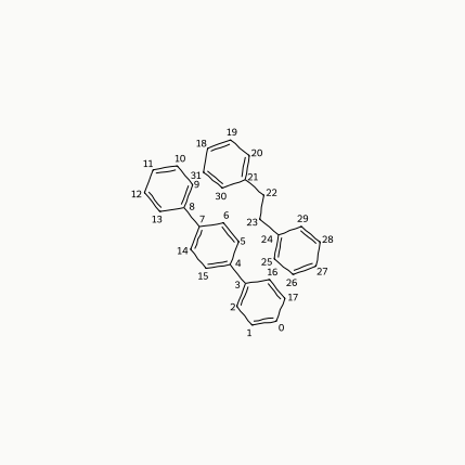 c1ccc(-c2ccc(-c3ccccc3)cc2)cc1.c1ccc(CCc2ccccc2)cc1